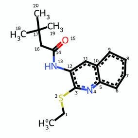 CCSc1nc2ccccc2cc1NC(=O)CC(C)(C)C